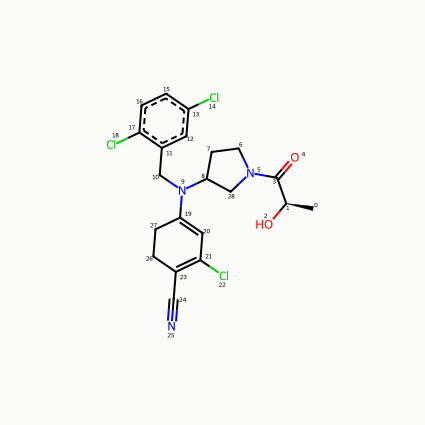 C[C@@H](O)C(=O)N1CCC(N(Cc2cc(Cl)ccc2Cl)C2=CC(Cl)=C(C#N)CC2)C1